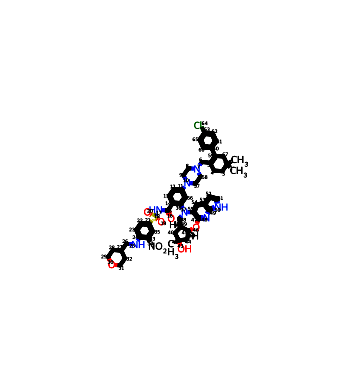 CC1(C)CCC(CN2CCN(c3ccc(C(=O)NS(=O)(=O)c4ccc(NCC5CCOCC5)c([N+](=O)[O-])c4)c(N4C[C@@H]5C[C@@](C)(O)C[C@@H]5Oc5nc6[nH]ccc6cc54)c3)CC2)=C(c2ccc(Cl)cc2)C1